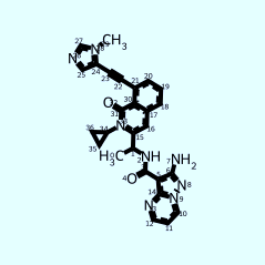 CC(NC(=O)c1c(N)nn2cccnc12)c1cc2cccc(C#Cc3cncn3C)c2c(=O)n1C1CC1